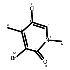 Cc1c(Cl)cn(C)c(=O)c1Br